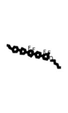 C/C=C/C1CCC(C2CCC(c3ccc(-c4ccc(-c5ccc(OCCCCCC)c(F)c5F)cc4)c(F)c3F)CC2)CC1